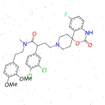 COc1ccc(CCN(C)C(=O)C(CCN2CCC3(CC2)OC(=O)Nc2ccc(F)cc23)c2ccc(Cl)c(Cl)c2)cc1OC